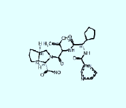 C=C(C)C(NC(=O)[C@@H](NC(=O)c1cnccn1)C1CCCC1)C(=O)N1C[C@@H]2CCC[C@@H]2[C@H]1C(=O)N=O